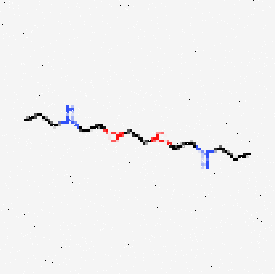 CCCNCCOCCOCCNCCC